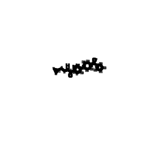 O=C(NCCC1CC1)c1ccc(N2CCN(C(=O)N3CCCC3)CC2)nn1